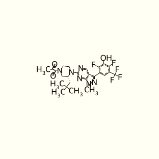 Cn1nc(-c2cc(C(F)(F)F)c(F)c(O)c2F)c2cnc(N3CCN(S(C)(=O)=O)C[C@H]3CC(C)(C)C)nc21